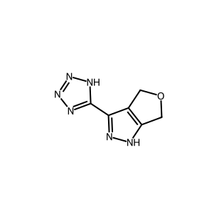 C1OCc2c(-c3nnn[nH]3)n[nH]c21